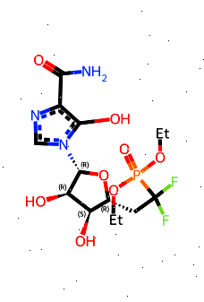 CCOP(=O)(OCC)C(F)(F)C[C@H]1O[C@@H](n2cnc(C(N)=O)c2O)[C@H](O)[C@@H]1O